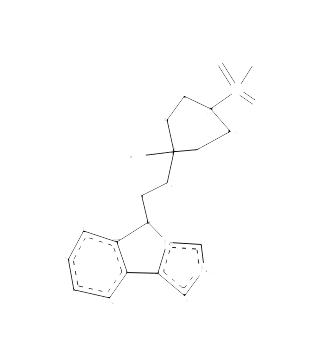 CS(=O)(=O)C1CCC(F)(CCC2c3ccccc3-c3cncn32)CC1